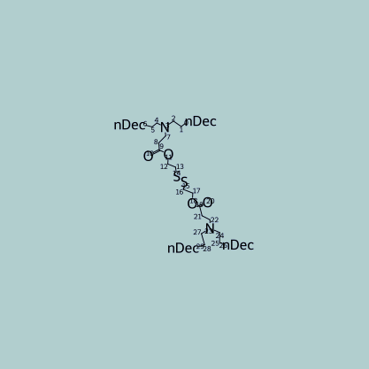 CCCCCCCCCCCCN(CCCCCCCCCCCC)CCC(=O)OCCSSCCOC(=O)CCN(CCCCCCCCCCCC)CCCCCCCCCCCC